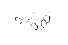 CCc1ccc2c(c1)[C@@H](NC[C@@H](O)[C@H](Cc1ccccc1)Nc1ccc(Cl)nn1)CC1(CCC1)O2